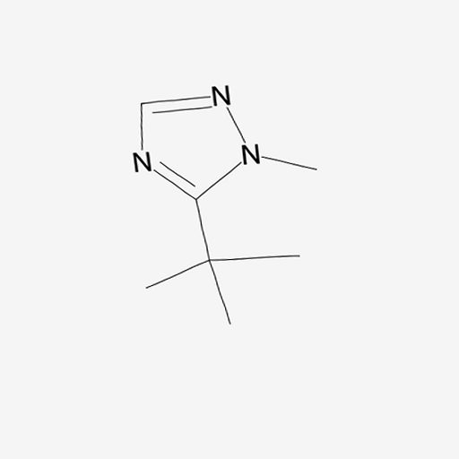 Cn1ncnc1C(C)(C)C